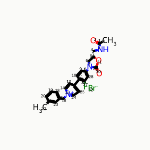 CC(=O)NC[C@H]1CN(c2ccc(-c3cc[n+](Cc4cccc(C)c4)cc3)c(F)c2)C(=O)O1.[Br-]